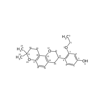 CCOc1cc(O)ccc1C1COc2c(ccc3c2CCC(C)(C)O3)C1